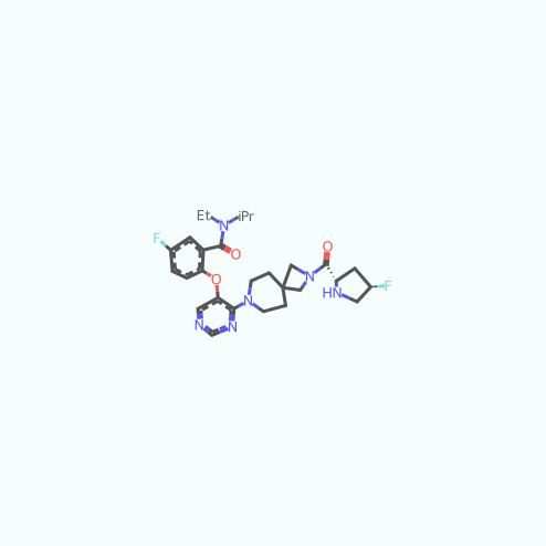 CCN(C(=O)c1cc(F)ccc1Oc1cncnc1N1CCC2(CC1)CN(C(=O)[C@@H]1C[C@@H](F)CN1)C2)C(C)C